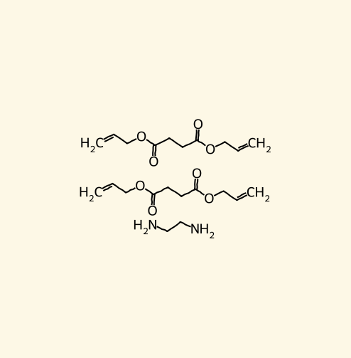 C=CCOC(=O)CCC(=O)OCC=C.C=CCOC(=O)CCC(=O)OCC=C.NCCN